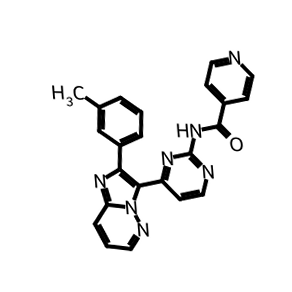 Cc1cccc(-c2nc3cccnn3c2-c2ccnc(NC(=O)c3ccncc3)n2)c1